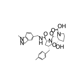 Cc1ccc(C[C@@H]2C[C@@H](C(=O)NCc3ccc4c(cnn4C)c3)N(C(=O)[C@H]3[C@@H](C(=O)O)CCCN3C(=O)O)C2)cc1